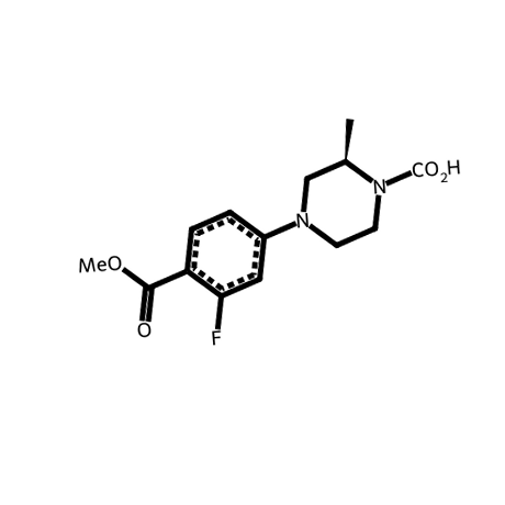 COC(=O)c1ccc(N2CCN(C(=O)O)[C@H](C)C2)cc1F